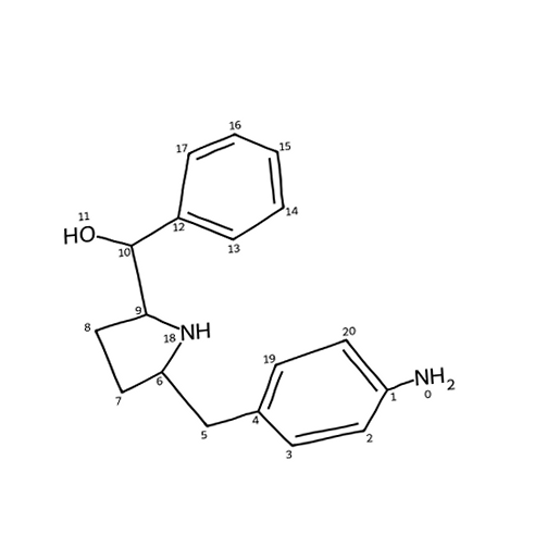 Nc1ccc(CC2CCC(C(O)c3ccccc3)N2)cc1